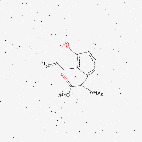 C=CCc1c(O)cccc1C(NC(C)=O)C(=O)OC